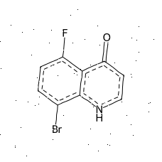 O=c1cc[nH]c2c(Br)ccc(F)c12